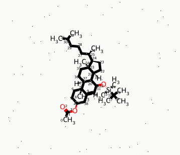 CC(=O)O[C@H]1CC[C@@]2(C)C(=CC(O[Si](C)(C)C(C)(C)C)C3[C@@H]4CC[C@H]([C@H](C)CCCC(C)C)[C@@]4(C)CC[C@@H]32)C1